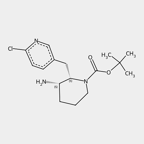 CC(C)(C)OC(=O)N1CCC[C@H](N)[C@@H]1Cc1ccc(Cl)nc1